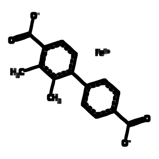 Cc1c(C(=O)[O-])ccc(-c2ccc(C(=O)[O-])cc2)c1C.[Fe+2]